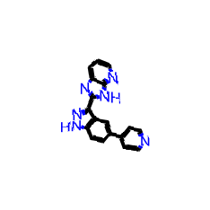 c1cnc2[nH]c(-c3n[nH]c4ccc(-c5ccncc5)cc34)nc2c1